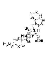 CC(C)(C)OC(=O)N[C@H](Cc1cccc2ccccc12)C(=O)NNC(=O)c1ccc(CN)cc1